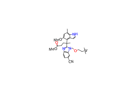 COC(=O)CCC(C)(c1c(OC)cc(C)c2[nH]ccc12)c1nc2ccc(C#N)cc2n1COCC[Si](C)(C)C